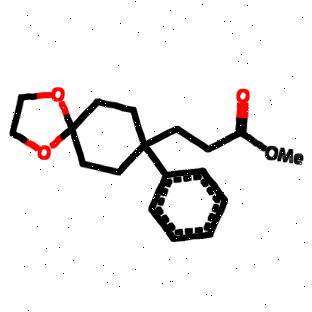 COC(=O)CCC1(c2ccccc2)CCC2(CC1)OCCO2